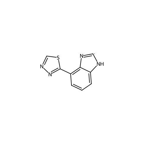 [c]1nc2c(-c3nncs3)cccc2[nH]1